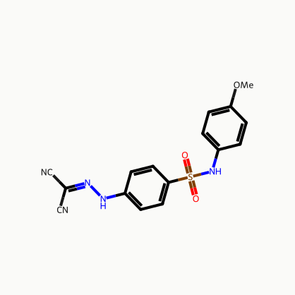 COc1ccc(NS(=O)(=O)c2ccc(NN=C(C#N)C#N)cc2)cc1